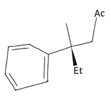 CC[C@@](C)(CC(C)=O)c1ccccc1